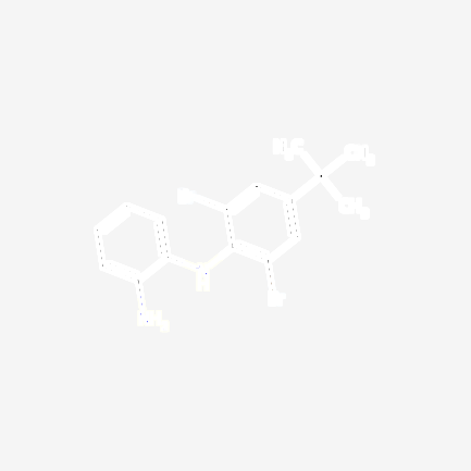 CC(C)(C)c1cc(Br)c(Nc2ccccc2N)c(Br)c1